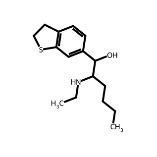 CCCCC(NCC)C(O)c1ccc2c(c1)SCC2